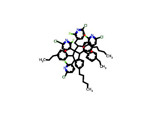 CCCCCc1ccc(C(C(Cc2ccc(Cl)nc2F)c2ccc(CC)cc2)C(c2ccc(Cl)nc2F)(C(Cc2ccc(Cl)nc2F)c2ccc(CCC)cc2)C(Cc2ccc(Cl)nc2F)c2ccc(CCCC)cc2)cc1